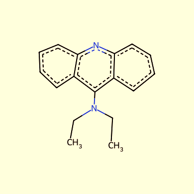 CCN(CC)c1c2ccccc2nc2ccccc12